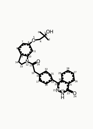 CC(C)(O)COc1ccc2c(c1)N(C(=O)Cc1ccc(-c3n[nH]c(=O)c4ccccc34)cc1)CC2